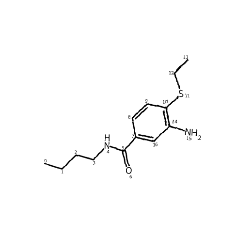 CCCCNC(=O)c1ccc(SCC)c(N)c1